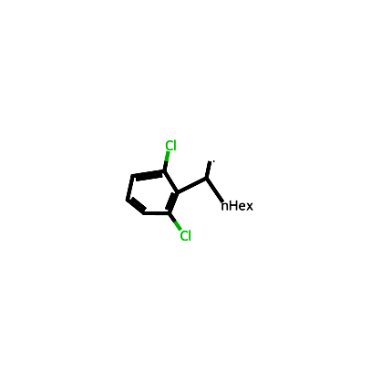 [CH2]C(CCCCCC)c1c(Cl)cccc1Cl